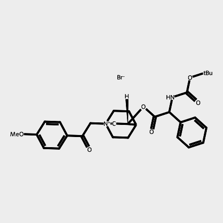 COc1ccc(C(=O)C[N+]23CCC(CC2)[C@@H](OC(=O)C(NC(=O)OC(C)(C)C)c2ccccc2)C3)cc1.[Br-]